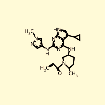 C=CC(=O)N1CC(Nc2nc(Nc3cnn(C)c3)nc3[nH]cc(C4CC4)c23)CCC1C